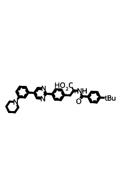 CC(C)(C)c1ccc(C(=O)N[C@@H](Cc2ccc(-c3ncc(-c4cccc(N5CCCCC5)c4)cn3)cc2)C(=O)O)cc1